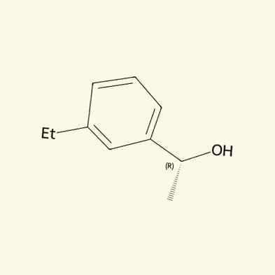 [CH2]Cc1cccc([C@@H](C)O)c1